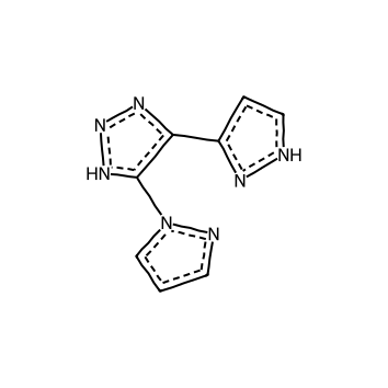 c1cnn(-c2[nH]nnc2-c2cc[nH]n2)c1